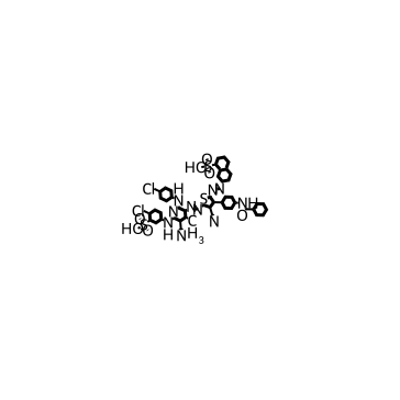 Cc1c(C#N)c(Nc2ccc(Cl)c(S(=O)(=O)O)c2)nc(Nc2ccc(Cl)cc2)c1N=Nc1sc(N=Nc2ccc3cccc(S(=O)(=O)O)c3c2)c(-c2ccc(NC(=O)c3ccccc3)cc2)c1C#N